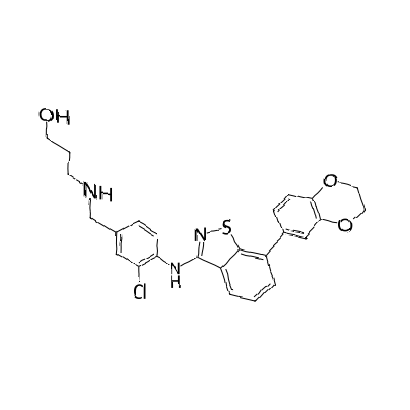 OCCCNCc1ccc(Nc2nsc3c(-c4ccc5c(c4)OCCO5)cccc23)c(Cl)c1